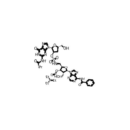 CC(C)C(=O)Nc1nc2c(ncn2[C@@H]2O[C@H](CO)C[C@H]2OS(=O)(=O)NC[C@H]2O[C@@H](n3cnc4c(NC(=O)c5ccccc5)ncnc43)[C@H](F)[C@@H]2O[PH](=O)O)c(=O)[nH]1.CCN(CC)CC